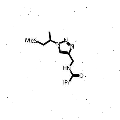 CSCC(C)n1cc(CNC(=O)C(C)C)nn1